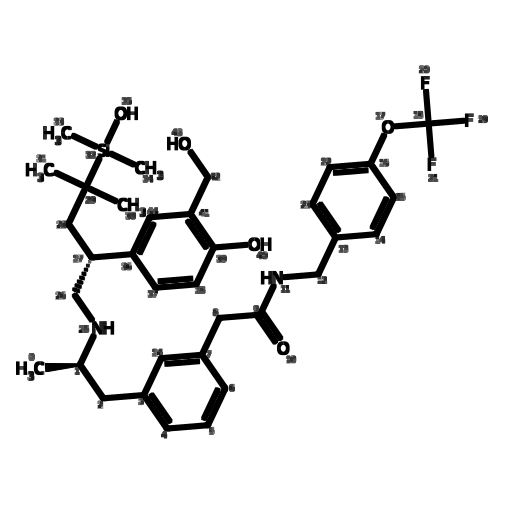 C[C@H](Cc1cccc(CC(=O)NCc2ccc(OC(F)(F)F)cc2)c1)NC[C@H](CC(C)(C)[Si](C)(C)O)c1ccc(O)c(CO)c1